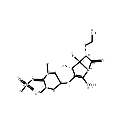 C[C@H]1C(SC2CN(C)C(=NS(C)(=O)=O)N(C)C2)=C(C(=O)O)N2C(=O)[C@@H](CCO)[C@@H]12